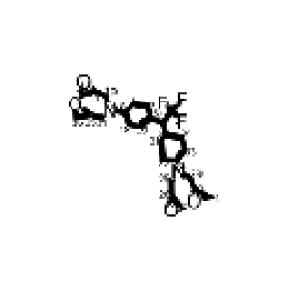 FC(F)(F)C(c1ccc(N(CC2CO2)CC2CO2)cc1)c1ccc(N(CC2CO2)CC2CO2)cc1